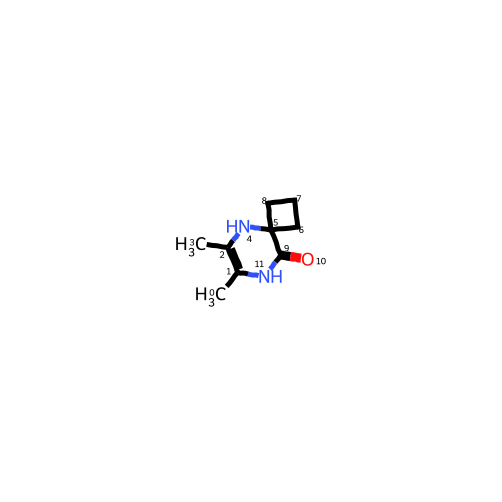 CC1=C(C)NC2(CCC2)C(=O)N1